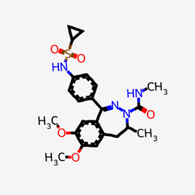 CNC(=O)N1N=C(c2ccc(NS(=O)(=O)C3CC3)cc2)c2cc(OC)c(OC)cc2CC1C